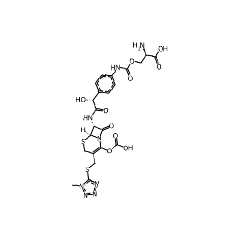 Cn1nnnc1SCC1=C(OC(=O)O)N2C(=O)[C@@H](NC(=O)[C@H](O)c3ccc(NC(=O)OC[C@@H](N)C(=O)O)cc3)[C@@H]2SC1